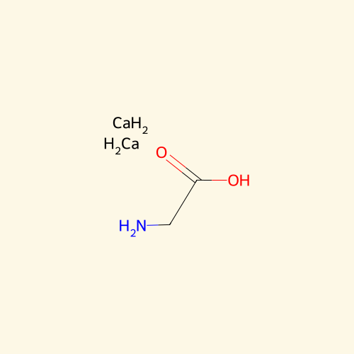 NCC(=O)O.[CaH2].[CaH2]